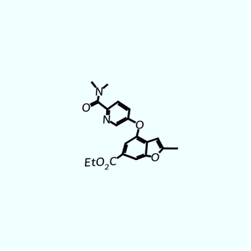 CCOC(=O)c1cc(Oc2ccc(C(=O)N(C)C)nc2)c2cc(C)oc2c1